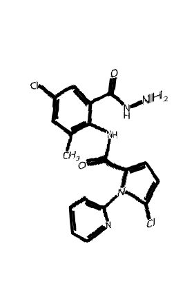 Cc1cc(Cl)cc(C(=O)NN)c1NC(=O)c1ccc(Cl)n1-c1ccccn1